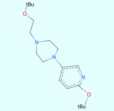 CC(C)(C)OCCN1CCN(c2ccc(OC(C)(C)C)nc2)CC1